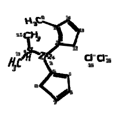 CC1=[C]([Zr+2]([C]2=CC=CC2)[SiH](C)C)CC=C1.[Cl-].[Cl-]